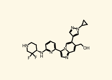 OCc1cc2ncc(-c3cccc(N[C@@H]4CCNCC4(F)F)n3)n2cc1-c1cnn(C2CC2)c1